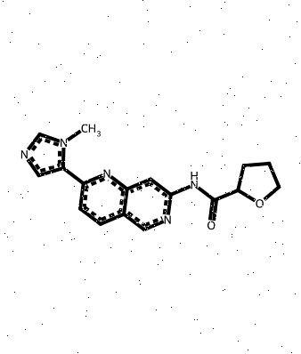 Cn1cncc1-c1ccc2cnc(NC(=O)C3CCCO3)cc2n1